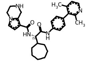 Cc1ccnc(C)c1-c1ccc(NC(=O)[C@@H](NC(=O)c2ccn3c2CNCC3)C2CCCCCC2)cc1